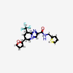 O=C(NCc1cccs1)c1cn2cc(-c3ccco3)cc(C(F)(F)F)c2n1